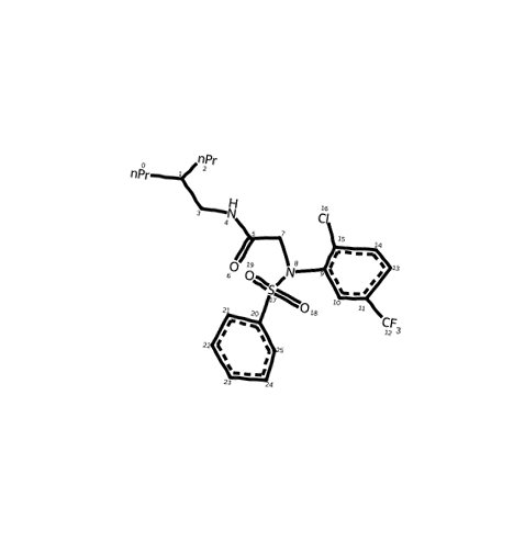 CCCC(CCC)CNC(=O)CN(c1cc(C(F)(F)F)ccc1Cl)S(=O)(=O)c1ccccc1